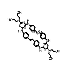 O=S(=O)(O)c1ccc(Nc2nc(Nc3ccc(/C=C/c4ccc(Nc5nc(Nc6ccc(S(=O)(=O)O)cc6)nc(N(CCO)CCO)n5)cc4)cc3)nc(N(CCO)CCO)n2)cc1